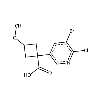 COC1CC(C(=O)O)(c2cnc(Cl)c(Br)c2)C1